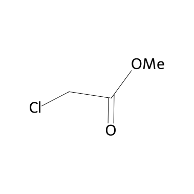 [CH2]OC(=O)CCl